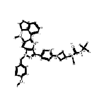 COc1ccc(Cn2nc(-c3ccc(N4CC(N(C)C(=O)OC(C)(C)C)C4)nc3)c3nc(-c4cccc5c4CCC5)c(OC)cc32)cc1